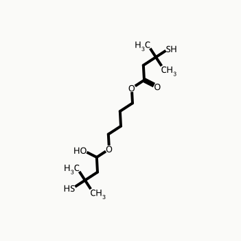 CC(C)(S)CC(=O)OCCCCOC(O)CC(C)(C)S